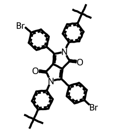 CC(C)(C)c1ccc(N2C(=O)C3=C(c4ccc(Br)cc4)N(c4ccc(C(C)(C)C)cc4)C(=O)C3=C2c2ccc(Br)cc2)cc1